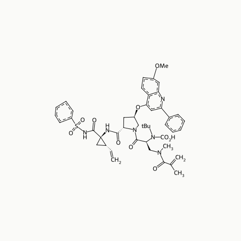 C=C[C@@H]1C[C@]1(NC(=O)[C@@H]1C[C@@H](Oc2cc(-c3ccccc3)nc3cc(OC)ccc23)CN1C(=O)[C@H](CN(C)C(=O)C(=C)C)N(C(=O)O)C(C)(C)C)C(=O)NS(=O)(=O)c1ccccc1